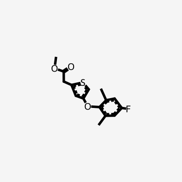 COC(=O)Cc1cc(Oc2c(C)cc(F)cc2C)cs1